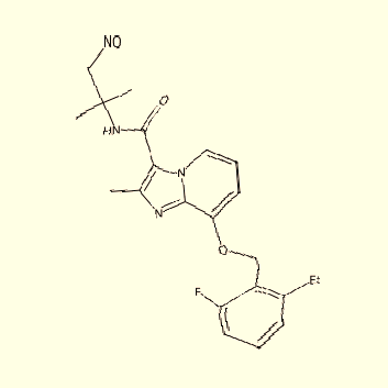 CCc1cccc(F)c1COc1cccn2c(C(=O)NC(C)(C)CN=O)c(C)nc12